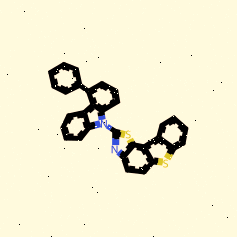 c1ccc(-c2cccc3c2c2ccccc2n3-c2nc3ccc4sc5ccccc5c4c3s2)cc1